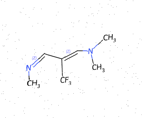 C/N=C\C(=C\N(C)C)C(F)(F)F